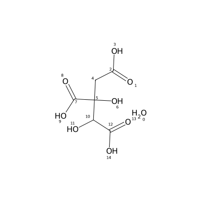 O.O=C(O)CC(O)(C(=O)O)C(O)C(=O)O